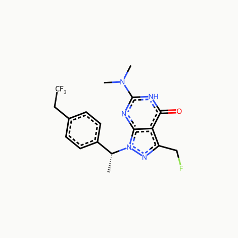 C[C@H](c1ccc(CC(F)(F)F)cc1)n1nc(CF)c2c(=O)[nH]c(N(C)C)nc21